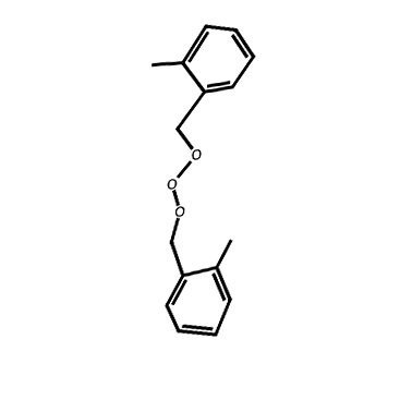 Cc1ccccc1COOOCc1ccccc1C